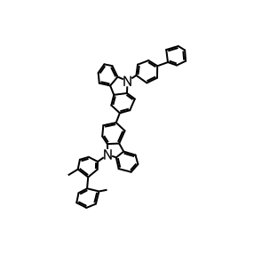 Cc1ccccc1-c1cc(-n2c3ccccc3c3cc(-c4ccc5c(c4)c4ccccc4n5-c4ccc(-c5ccccc5)cc4)ccc32)ccc1C